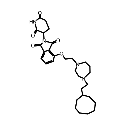 O=C1CCC(N2C(=O)c3cccc(OCCN4CCCN(CCC5CCCCCCC5)CC4)c3C2=O)C(=O)N1